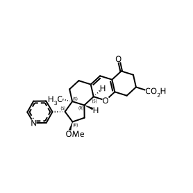 CO[C@@H]1C[C@H]2[C@@H]3OC4=C(C=C3CC[C@]2(C)[C@H]1c1cccnc1)C(=O)CC(C(=O)O)C4